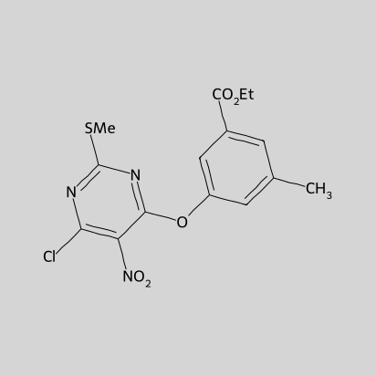 CCOC(=O)c1cc(C)cc(Oc2nc(SC)nc(Cl)c2[N+](=O)[O-])c1